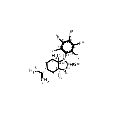 C=C(C)[C@@H]1CC[C@@]2(C)[C@H](C1)S[PH](=S)[SH]2c1c(F)c(F)c(F)c(F)c1F